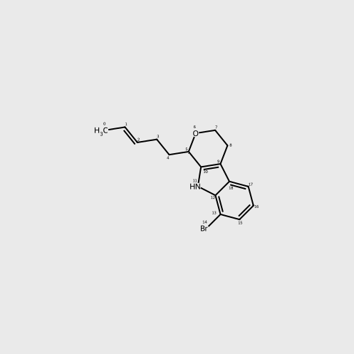 C/C=C/CC[C]1OCCc2c1[nH]c1c(Br)cccc21